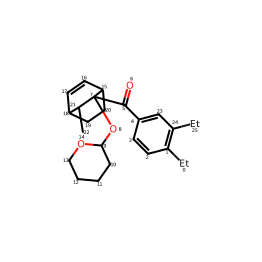 CCc1ccc(C(=O)C2(OC3CCCCO3)C3C=CC(CC3)C2C)cc1CC